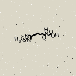 CSc1ncc(C#CCCCC(=O)NCC(=O)O)cn1